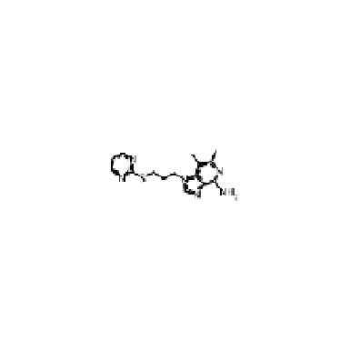 Cc1nc(N)c2ncn(CCCSc3ncccn3)c2c1C